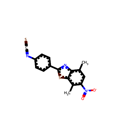 Cc1cc([N+](=O)[O-])c(C)c2sc(-c3ccc(N=C=S)cc3)nc12